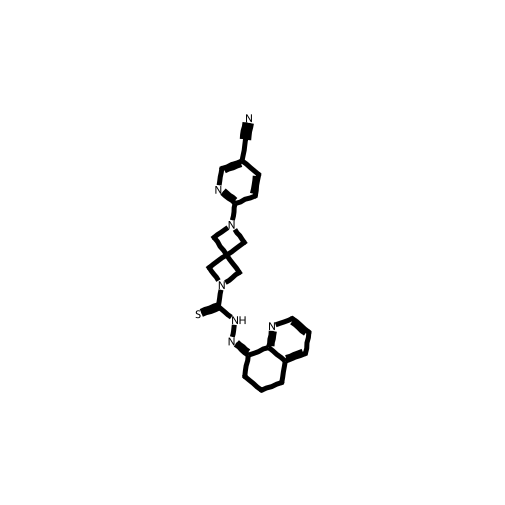 N#Cc1ccc(N2CC3(CN(C(=S)N/N=C4/CCCc5cccnc54)C3)C2)nc1